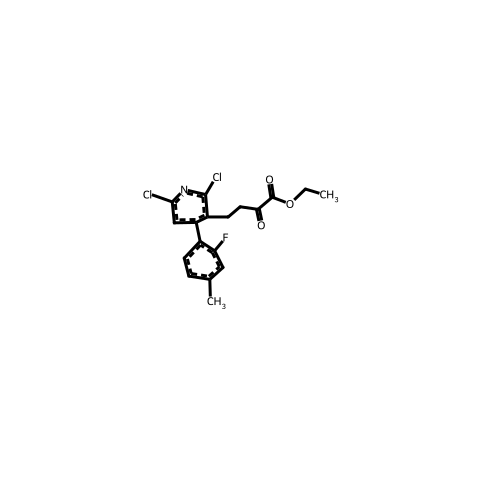 CCOC(=O)C(=O)CCc1c(-c2ccc(C)cc2F)cc(Cl)nc1Cl